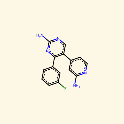 Nc1cc(-c2cnc(N)nc2-c2cccc(F)c2)ccn1